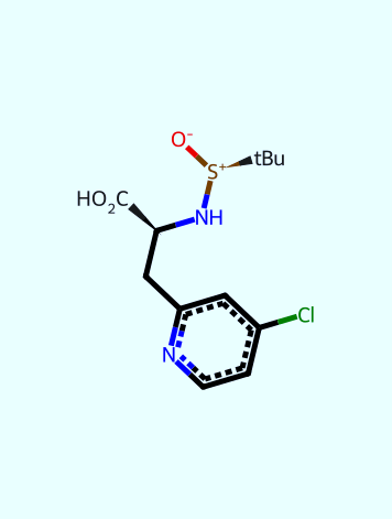 CC(C)(C)[S@+]([O-])N[C@@H](Cc1cc(Cl)ccn1)C(=O)O